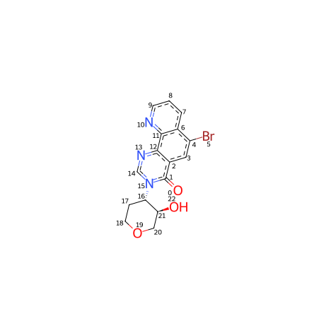 O=c1c2cc(Br)c3cccnc3c2ncn1[C@H]1CCOC[C@@H]1O